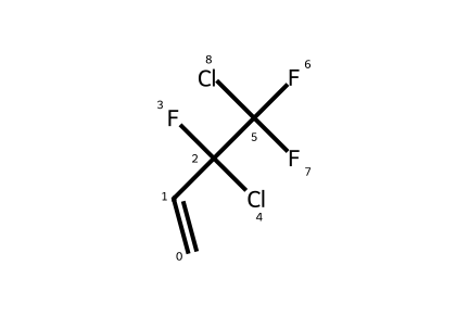 C=CC(F)(Cl)C(F)(F)Cl